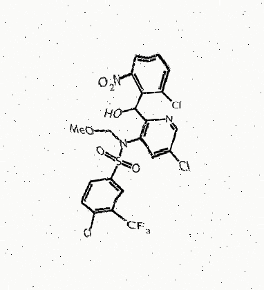 COCN(c1cc(Cl)cnc1C(O)c1c(Cl)cccc1[N+](=O)[O-])S(=O)(=O)c1ccc(Cl)c(C(F)(F)F)c1